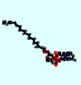 CCCCCCCCCCCCCCOCC(COP(=O)(O)OCC[N+](C)(C)C)OC